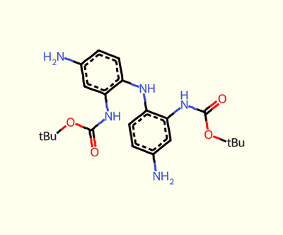 CC(C)(C)OC(=O)Nc1cc(N)ccc1Nc1ccc(N)cc1NC(=O)OC(C)(C)C